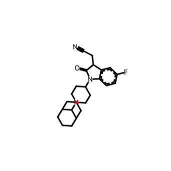 N#CCC1C(=O)N(C2CCN(C3C4CCCC3CCC4)CC2)c2ccc(F)cc21